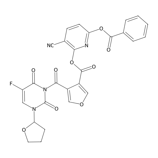 N#Cc1ccc(OC(=O)c2ccccc2)nc1OC(=O)c1cocc1C(=O)n1c(=O)c(F)cn(C2CCCO2)c1=O